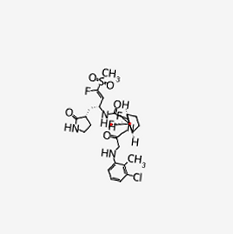 Cc1c(Cl)cccc1NCC(=O)N1[C@@H]2CC[C@H]([C@@H]1C(=O)N[C@@H](/C=C(\F)S(C)(=O)=O)C[C@@H]1CCNC1=O)C(F)(F)C2